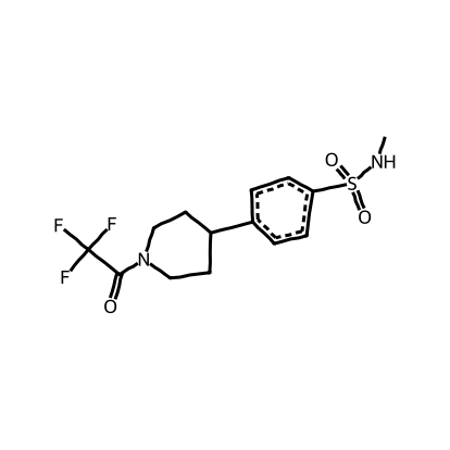 CNS(=O)(=O)c1ccc(C2CCN(C(=O)C(F)(F)F)CC2)cc1